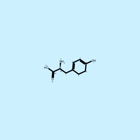 N[C@@H](CC1=CC=C(O)CC1)C(=O)O